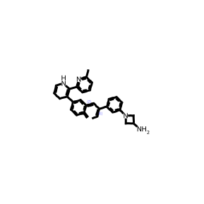 C=c1ccc(C2=C(c3cccc(C)n3)NC=CC2)c/c1=C/C(=C\C)c1cccc(N2CC(N)C2)c1